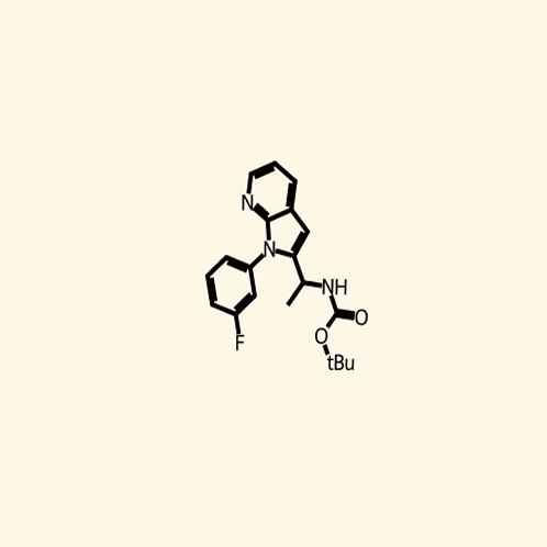 CC(NC(=O)OC(C)(C)C)c1cc2cccnc2n1-c1cccc(F)c1